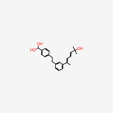 CC(=CC=CC(C)(C)O)c1cccc(CCc2ccc(C(O)O)cc2)c1